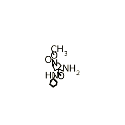 CCOC(=O)N1CCC(CN)(C(=O)Nc2ccccc2)CC1